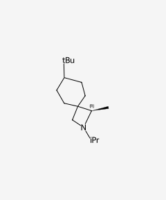 CC(C)N1CC2(CCC(C(C)(C)C)CC2)[C@H]1C